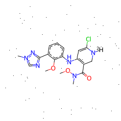 [2H]N1CC(C(=O)N(C)OC)=C(Nc2cccc(-c3ncn(C)n3)c2OC)C=C1Cl